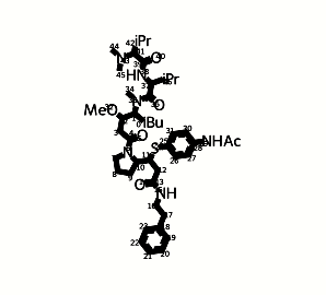 CCC(C)C(C(CC(=O)N1CCCC1C(CC(=O)NCCc1ccccc1)Sc1ccc(NC(C)=O)cc1)OC)N(C)C(=O)C(NC(=O)C(C(C)C)N(C)C)C(C)C